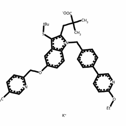 CCOc1ccc(-c2ccc(Cn3c(CC(C)(C)C(=O)[O-])c(SC(C)(C)C)c4cc(OCc5ccc(C)cn5)ccc43)cc2)cn1.[K+]